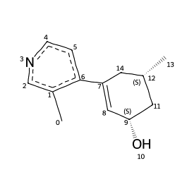 Cc1cnccc1C1=C[C@@H](O)C[C@@H](C)C1